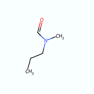 CC[CH]N(C)C=O